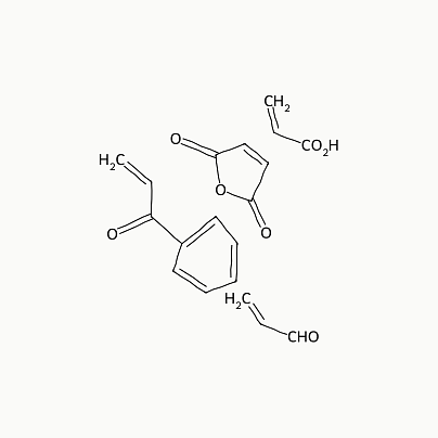 C=CC(=O)O.C=CC(=O)c1ccccc1.C=CC=O.O=C1C=CC(=O)O1